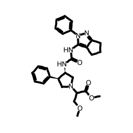 COCC(C(=O)OC)N1C[C@@H](NC(=O)Nc2c3c(nn2-c2ccccc2)CCC3)[C@H](c2ccccc2)C1